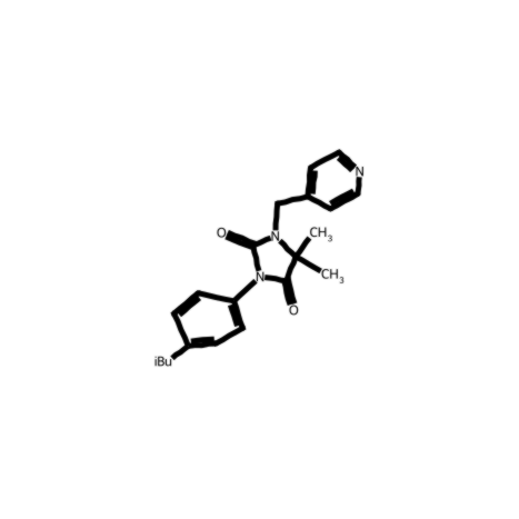 CCC(C)c1ccc(N2C(=O)N(Cc3ccncc3)C(C)(C)C2=O)cc1